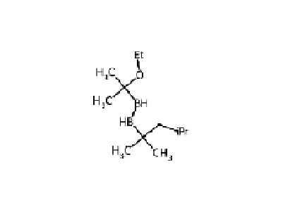 CCOC(C)(C)BBC(C)(C)CC(C)C